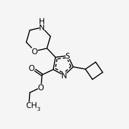 CCOC(=O)c1nc(C2CCC2)sc1C1CNCCO1